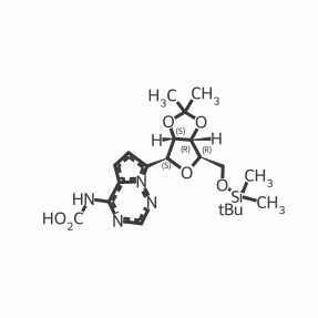 CC1(C)O[C@@H]2[C@H](O1)[C@@H](CO[Si](C)(C)C(C)(C)C)O[C@H]2c1ccc2c(NC(=O)O)ncnn12